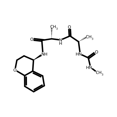 CNC(=O)N[C@@H](C)C(=O)N[C@@H](C)C(=O)N[C@@H]1CCOc2ccccc21